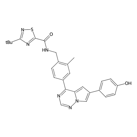 Cc1cc(-c2ncnn3cc(-c4ccc(O)cc4)cc23)ccc1CNC(=O)c1nc(C(C)(C)C)ns1